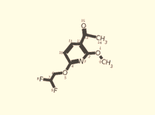 COc1nc(OCC(F)F)ccc1C(C)=O